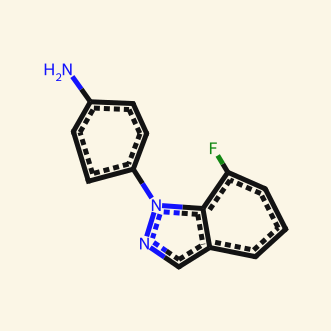 Nc1ccc(-n2ncc3cccc(F)c32)cc1